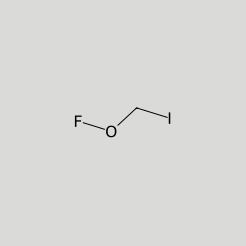 FOCI